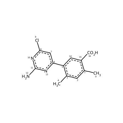 Cc1cc(C)c(-c2cc(Cl)nc(N)n2)cc1C(=O)O